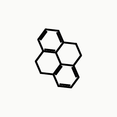 c1cc2c3c(c1)CCc1cccc(c1-3)CC2